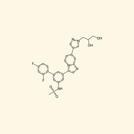 CS(=O)(=O)Nc1cc(-c2ccc(F)cc2F)cc(-c2cnc3cc(-c4cnn(CC(O)CO)c4)ccn23)c1